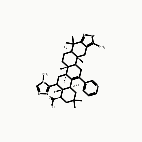 CC1(C)C[C@@H]2C3=C(c4cccnc4)CC4[C@@]5(C)Cc6c(n[nH]c6N)C(C)(C)[C@@H]5CC[C@@]4(C)[C@]3(C)CC(c3nncn3N)[C@H]2[C@H](C(=O)S)C1